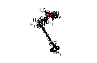 CCCC1O[C@@H]2C[C@H]3[C@@H]4C[C@H](F)C5=CC(=O)C=C[C@]5(C)[C@@]4(F)[C@@H](O)C[C@]3(C)[C@]2(C(=O)COc2ccc(NC(=O)[C@H](C)NC(=O)[C@@H](NC(=O)CCOCCOCCOCCOCCNC(=O)CCC(=O)N3Cc4ccccc4/C(C)=C\c4ccccc43)C(C)C)c(OC)c2)O1